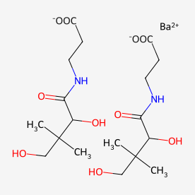 CC(C)(CO)C(O)C(=O)NCCC(=O)[O-].CC(C)(CO)C(O)C(=O)NCCC(=O)[O-].[Ba+2]